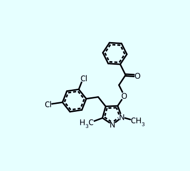 Cc1nn(C)c(OCC(=O)c2ccccc2)c1Cc1ccc(Cl)cc1Cl